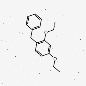 CCOc1ccc(Cc2ccccc2)c(OCC)c1